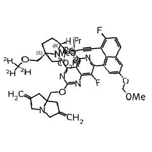 [2H]C([2H])([2H])OC[C@]12CC[C@H](CN(c3nc(OCC45CC(=C)CN4CC(=C)C5)nc4c(F)c(-c5cc(OCOC)cc6ccc(F)c(C#C[Si](C(C)C)(C(C)C)C(C)C)c56)nc(OC)c34)C1)N2C(=O)O